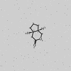 O=C1C[C@@H]2CCC[C@@H]2CO1